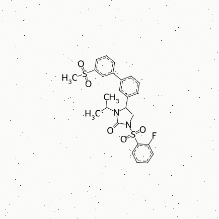 CC(C)N1C(=O)N(S(=O)(=O)c2ccccc2F)CC1c1cccc(-c2cccc(S(C)(=O)=O)c2)c1